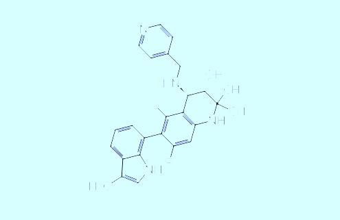 Cc1c[nH]c2c(-c3c(F)cc4c(c3F)[C@@H](NCc3ccncc3)[C@H](O)C(C)(C)N4)cccc12